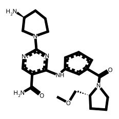 COC[C@H]1CCCN1C(=O)c1cccc(Nc2nc(N3CCC[C@H](N)C3)ncc2C(N)=O)c1